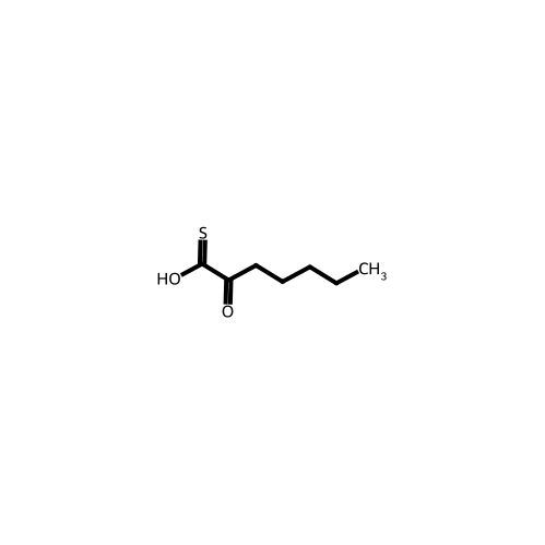 CCCCCC(=O)C(O)=S